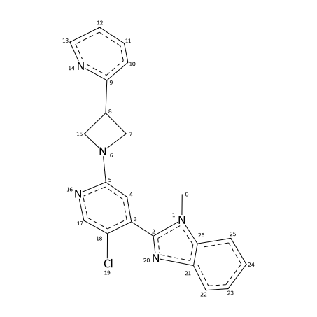 Cn1c(-c2cc(N3CC(c4ccccn4)C3)ncc2Cl)nc2ccccc21